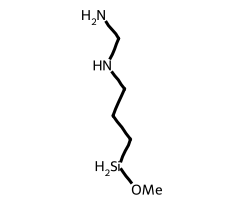 CO[SiH2]CCCNCN